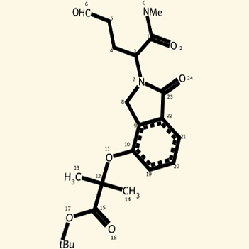 CNC(=O)C(CCC=O)N1Cc2c(OC(C)(C)C(=O)OC(C)(C)C)cccc2C1=O